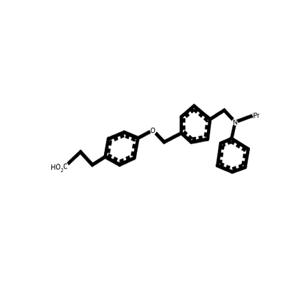 CC(C)N(Cc1ccc(COc2ccc(CCC(=O)O)cc2)cc1)c1ccccc1